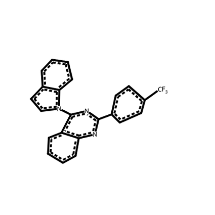 FC(F)(F)c1ccc(-c2nc(-n3ccc4ccccc43)c3ccccc3n2)cc1